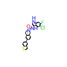 O=C(Nc1c[nH]c2cc(F)c(Cl)cc12)N1CCc2cc(-c3ccc4sccc4c3)ccc2C1